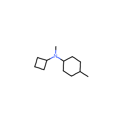 CC1CCC(N(C)C2CCC2)CC1